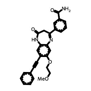 COCCOc1cc2c(cc1C#Cc1ccccc1)NC(=O)CC(c1cccc(C(N)=O)c1)=N2